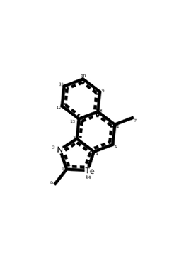 Cc1nc2c(cc(C)c3ccccc32)[te]1